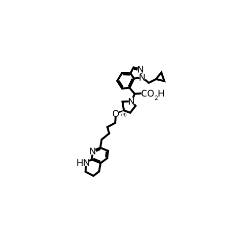 O=C(O)C(c1cccc2cnn(CC3CC3)c12)N1CC[C@@H](OCCCCc2ccc3c(n2)NCCC3)C1